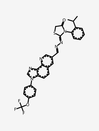 CC(C)c1ccccc1N1C(=O)CS/C1=N\N=C\c1cnc2c(ccc3c2ncn3-c2ccc(OC(F)(F)F)cc2)c1